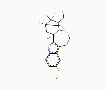 CCC1C2N3CCc4c([nH]c5ccc(OC)cc45)[C@]2(C)C[C@@H](C3)[C@@H]1C